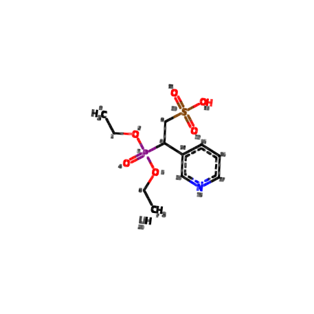 CCOP(=O)(OCC)C(CS(=O)(=O)O)c1cccnc1.[LiH]